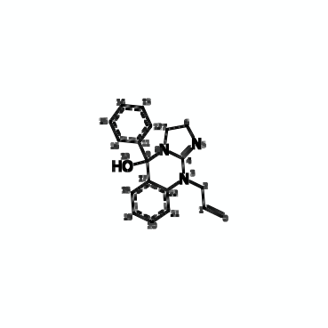 C=CCN1C2=NCCN2C(O)(c2ccccc2)c2ccccc21